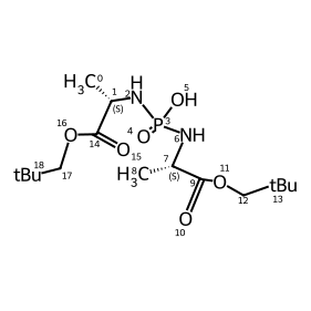 C[C@H](NP(=O)(O)N[C@@H](C)C(=O)OCC(C)(C)C)C(=O)OCC(C)(C)C